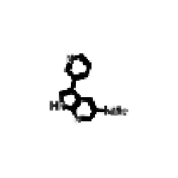 CNc1cnc2[nH]cc(-c3cccnc3)c2c1